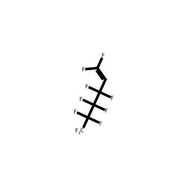 FC(F)=[C]C(F)(F)C(F)(F)C(F)(F)C(F)(F)F